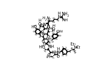 CCN(CC)C(=S)SCc1ccc(NC(=O)[C@@H](CC(C)C)NC(=O)[C@@H](CO)NC(=O)[C@@H](Cc2ccc(O)cc2)NC(=O)[C@@H](Cc2ccc(O)cc2)NC(=O)[C@@H](CO)NC(=O)[C@@H](CO)NC(=O)[C@H](N)CCCNC(=N)N)cc1